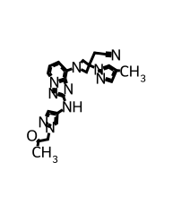 CC(=O)Cn1cc(Nc2nc3c(N4CC(CC#N)(n5cc(C)cn5)C4)cccn3n2)cn1